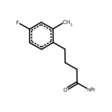 CCCC(=O)CCCc1ccc(F)cc1C